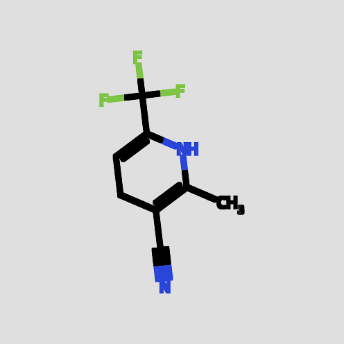 CC1=C(C#N)CC=C(C(F)(F)F)N1